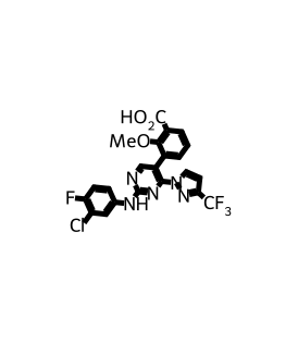 COc1c(C(=O)O)cccc1-c1cnc(Nc2ccc(F)c(Cl)c2)nc1-n1ccc(C(F)(F)F)n1